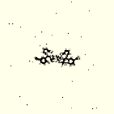 CC1(COP(=O)(O)O[C@@H]2[C@@H](N3CCCC3=O)c3cc(C#N)ccc3OC2(C)C)C[C@@H](N2CCCC2=O)c2cc(C#N)ccc2O1